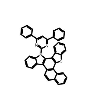 c1ccc(-c2cc(-c3ccccc3)nc(-n3c4ccccc4c4c5ccc6ccccc6c5c5sc6ccccc6c5c43)n2)cc1